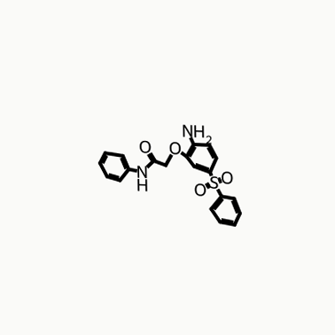 Nc1ccc(S(=O)(=O)c2ccccc2)cc1OCC(=O)Nc1ccccc1